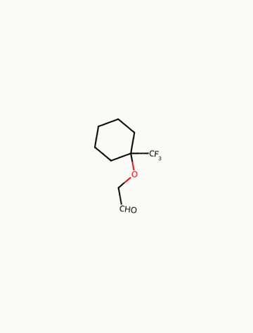 O=CCOC1(C(F)(F)F)CCCCC1